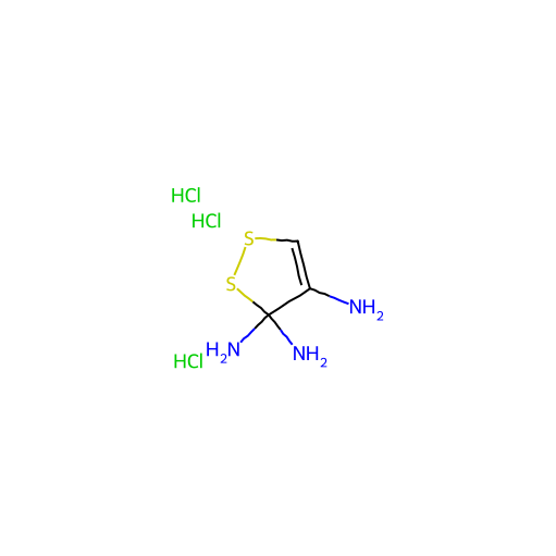 Cl.Cl.Cl.NC1=CSSC1(N)N